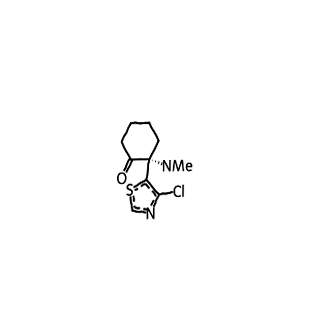 CN[C@@]1(c2scnc2Cl)CCCCC1=O